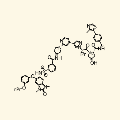 CCCOc1cccc(Oc2cc3c(cc2NS(=O)(=O)c2cccc(C(=O)N[C@H]4CCN(c5cc(-c6cnn(C(C(=O)N7C[C@H](O)C[C@H]7C(=O)N[C@@H](C)c7ccc(-c8scnc8C)cc7)C(C)C)c6)ccn5)C4)c2)n(C)c(=O)n3C)c1